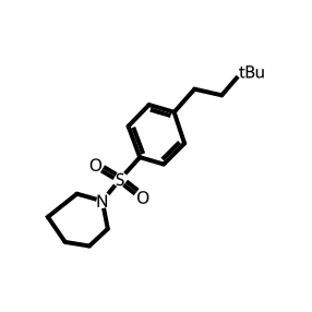 CC(C)(C)CCc1ccc(S(=O)(=O)N2CCCCC2)cc1